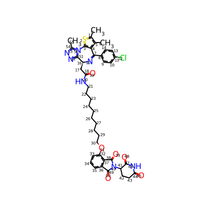 Cc1sc2c(c1C)C(c1ccc(Cl)cc1)=N[C@@H](CC(=O)NCCCCCCCCCCOc1cccc3c1C(=O)N(C1CCC(=O)NC1=O)C3=O)c1nnc(C)n1-2